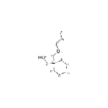 CC=COCC1(CO)CCCCC1